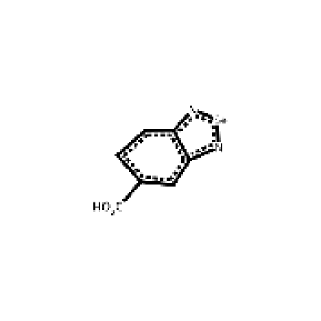 O=C(O)c1ccc2n[se]nc2c1